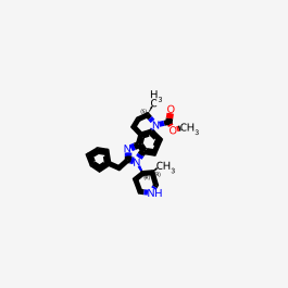 COC(=O)N1c2ccc3c(nc(Cc4ccccc4)n3[C@@H]3CCNC[C@H]3C)c2CC[C@@H]1C